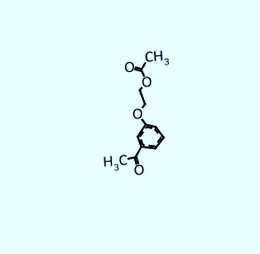 CC(=O)OCCOc1cccc(C(C)=O)c1